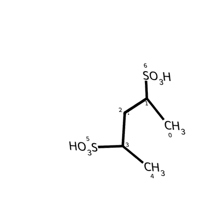 CC([C]C(C)S(=O)(=O)O)S(=O)(=O)O